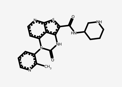 Cc1ncccc1N1C(=O)Nc2c(C(=O)NC3CCCNC3)sc3nccc1c23